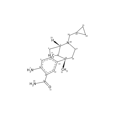 CC1[C@@H]2Cc3cc(N)c(C(N)=O)cc3[C@@]1(C)CCN2CC1CC1